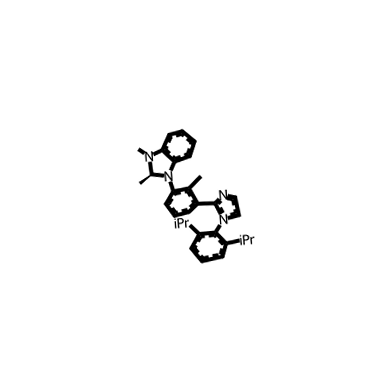 Cc1c(-c2nccn2-c2c(C(C)C)cccc2C(C)C)cccc1N1c2ccccc2N(C)[C@@H]1C